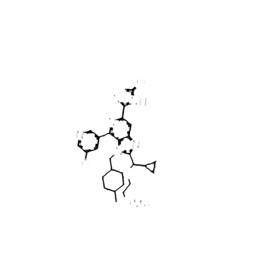 COCCOC(c1nc2cc(-c3noc(=O)[nH]3)nc(-c3cncc(Cl)c3)c2n1CC1CCC(C)CC1)C1CC1